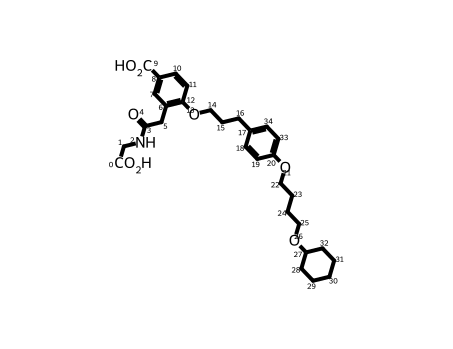 O=C(O)CNC(=O)Cc1cc(C(=O)O)ccc1OCCCc1ccc(OCCCCOC2CCCCC2)cc1